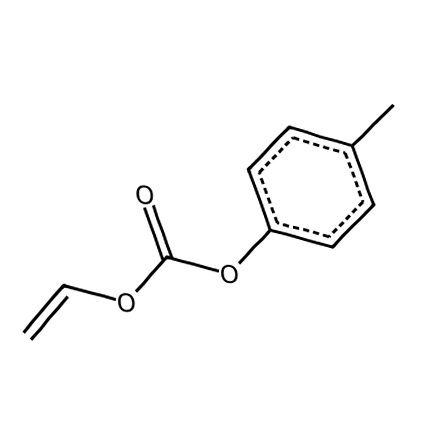 C=COC(=O)Oc1ccc(C)cc1